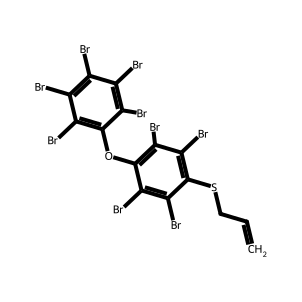 C=CCSc1c(Br)c(Br)c(Oc2c(Br)c(Br)c(Br)c(Br)c2Br)c(Br)c1Br